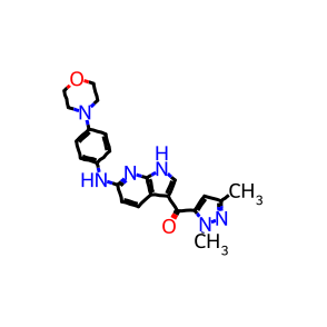 Cc1cc(C(=O)c2c[nH]c3nc(Nc4ccc(N5CCOCC5)cc4)ccc23)n(C)n1